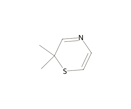 CC1(C)C=NC=CS1